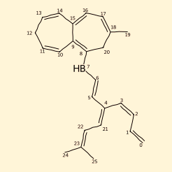 C=C\C=C/C(/C=C/BC1=C2C=CCC=CC2=CC=C(C)C1)=C/C=C(C)C